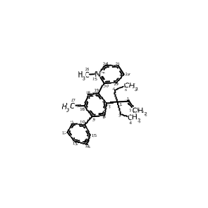 C=CC(CC)(CC)c1cc(-c2ccccc2)c(C)cc1-c1cccc[n+]1C